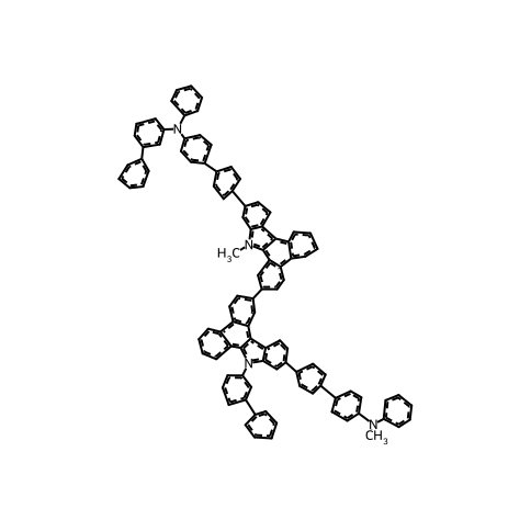 CN(c1ccccc1)c1ccc(-c2ccc(-c3ccc4c5c6cc(-c7ccc8c9ccccc9c9c%10ccc(-c%11ccc(-c%12ccc(N(c%13ccccc%13)c%13cccc(-c%14ccccc%14)c%13)cc%12)cc%11)cc%10n(C)c9c8c7)ccc6c6ccccc6c5n(-c5cccc(-c6ccccc6)c5)c4c3)cc2)cc1